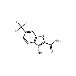 NC(=O)c1oc2cc(C(F)(F)F)ccc2c1N